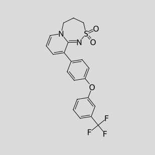 O=S1(=O)CCCN2C=CC=C(c3ccc(Oc4cccc(C(F)(F)F)c4)cc3)C2=N1